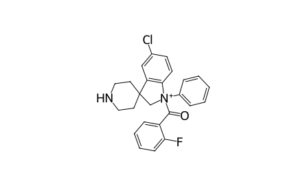 O=C(c1ccccc1F)[N+]1(c2ccccc2)CC2(CCNCC2)c2cc(Cl)ccc21